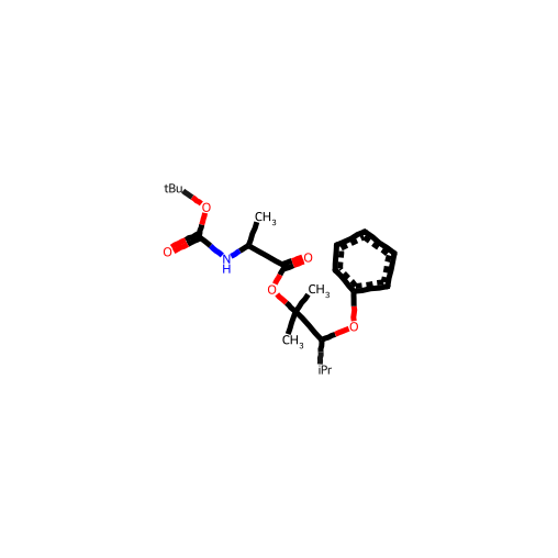 CC(NC(=O)OC(C)(C)C)C(=O)OC(C)(C)C(Oc1ccccc1)C(C)C